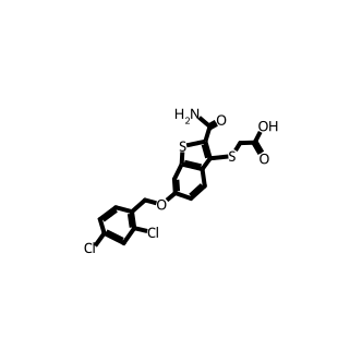 NC(=O)c1sc2cc(OCc3ccc(Cl)cc3Cl)ccc2c1SCC(=O)O